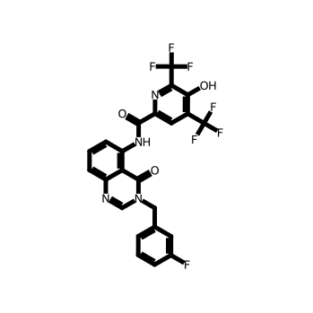 O=C(Nc1cccc2ncn(Cc3cccc(F)c3)c(=O)c12)c1cc(C(F)(F)F)c(O)c(C(F)(F)F)n1